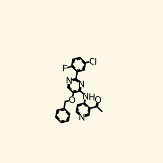 CC(=O)c1cnccc1Nc1nc(-c2cc(Cl)ccc2F)ncc1OCc1ccccc1